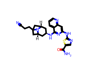 N#CCCC12C[C@H]3C[C@H](Nc4nc(Nc5ncc(C(N)=O)s5)cc5ncccc45)C[C@@H](C1)N32